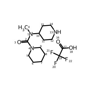 CN(C(=O)N1CCCCC1)C1CCNCC1.O=C(O)C(F)(F)F